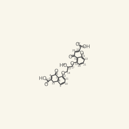 O=C(O)C1=CC(=O)c2c(cccc2OCC(O)COc2cccc3oc(C(=O)O)cc(=O)c23)C1